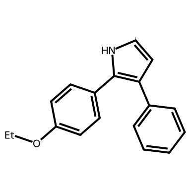 CCOc1ccc(-c2[nH][c]cc2-c2ccccc2)cc1